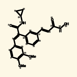 COc1ccc(C=C(C(=O)NC2CC2)c2cccc(C=CC(=O)NO)c2)cc1OC